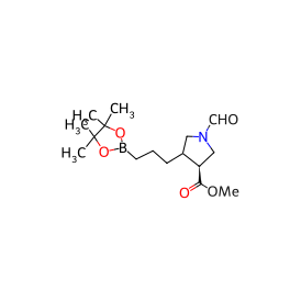 COC(=O)[C@@H]1CN(C=O)CC1CCCB1OC(C)(C)C(C)(C)O1